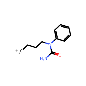 [CH2]CCCN(C(N)=O)c1ccccc1